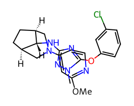 COc1cc(N2C[C@H]3CC[C@@H](C2)[C@@H]3Nc2nc(Oc3cccc(Cl)c3)n(C)n2)ccn1